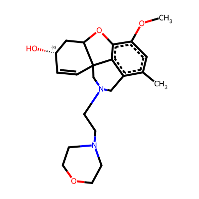 COc1cc(C)c2c3c1OC1C[C@@H](O)C=CC31CN(CCN1CCOCC1)C2